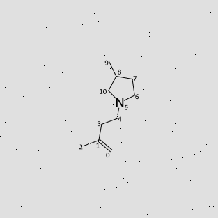 C=C(C)CCN1CCC(C)C1